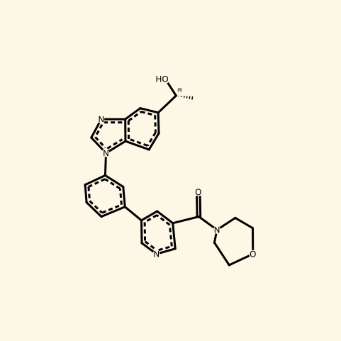 C[C@@H](O)c1ccc2c(c1)ncn2-c1cccc(-c2cncc(C(=O)N3CCOCC3)c2)c1